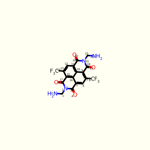 NCN1C(=O)c2cc(C(F)(F)F)c3c4c(cc(C(F)(F)F)c(c24)C1=O)C(=O)N(CN)C3=O